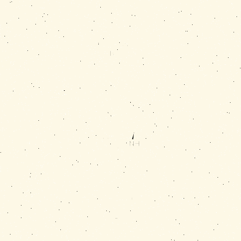 CC1(C)OB(c2ccc3nc4n(c3c2)CC[C@H]4NC(=O)c2cccc(OC(F)F)c2)OC1(C)C